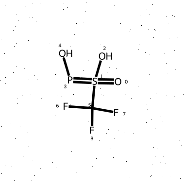 O=S(O)(=PO)C(F)(F)F